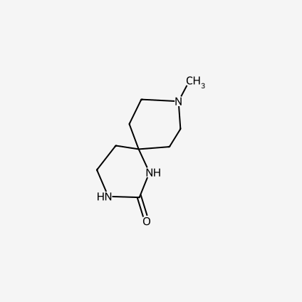 CN1CCC2(CCNC(=O)N2)CC1